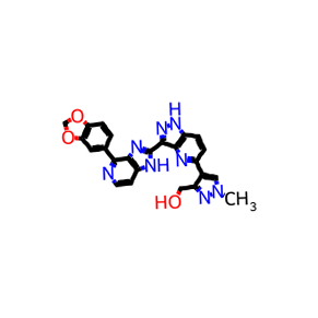 Cn1cc(-c2ccc3[nH]nc(-c4nc5c(-c6ccc7c(c6)OCO7)nccc5[nH]4)c3n2)c(CO)n1